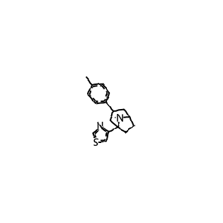 Cc1ccc(C2CC3CCC(c4cscn4)(C2)[N]3)cc1